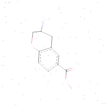 COC(=O)c1ccc2c(c1)CC(N)CO2